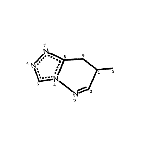 CC1[C]=Nn2cnnc2C1